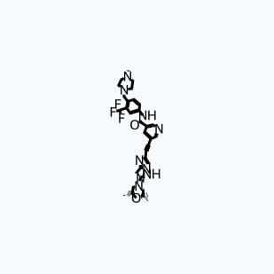 C[C@@H]1CN(N2Cc3nc(C#Cc4cncc(C(=O)Nc5ccc(CN6CCN(C)CC6)c(C(F)(F)F)c5)c4)cn3N2)C[C@H](C)O1